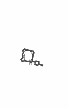 C#Cc1ccc(-c2cc3cc4ccc(cc5nc(cc6nc(cc2[nH]3)C=C6)C=C5)[nH]4)cc1